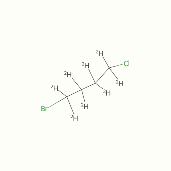 [2H]C([2H])(Cl)C([2H])([2H])C([2H])([2H])C([2H])([2H])Br